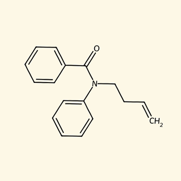 C=CCCN(C(=O)c1ccccc1)c1ccccc1